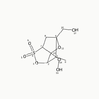 CC1C2OS(=O)(=O)C3CC1(CO)OC23OO